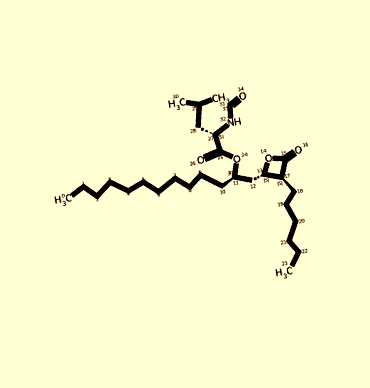 CCCCCCCCCCC[C@H](C[C@@H]1OC(=O)[C@H]1CCCCCC)OC(=O)[C@H](CC(C)C)NC=O